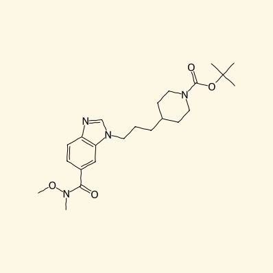 CON(C)C(=O)c1ccc2ncn(CCCC3CCN(C(=O)OC(C)(C)C)CC3)c2c1